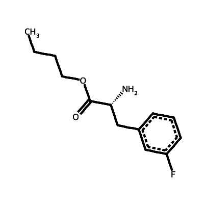 CCCCOC(=O)[C@H](N)Cc1cccc(F)c1